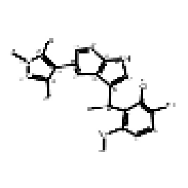 COc1ccc(F)c(Cl)c1[C@@H](C)c1c[nH]c2ncc(-c3c(C)nn(C)c3C)cc12